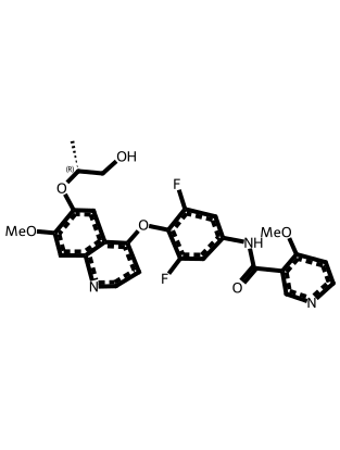 COc1cc2nccc(Oc3c(F)cc(NC(=O)c4cnccc4OC)cc3F)c2cc1O[C@H](C)CO